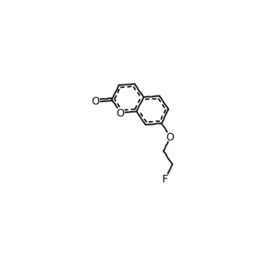 O=c1ccc2ccc(OCCF)cc2o1